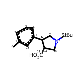 Cc1cccc(C2CN(C(C)(C)C)CC2C(=O)O)c1